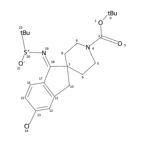 CC(C)(C)OC(=O)N1CCC2(CC1)Cc1cc(Cl)ccc1C2=N[S+]([O-])C(C)(C)C